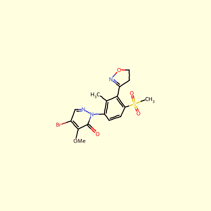 COc1c(Br)cnn(-c2ccc(S(C)(=O)=O)c(C3=NOCC3)c2C)c1=O